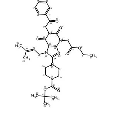 CCOC(=O)Cn1c(=O)n(CC(=O)c2ccccc2)c(=O)c2c1nc(N1CCN(C(=O)OC(C)(C)C)CC1)n2CC=C(C)C